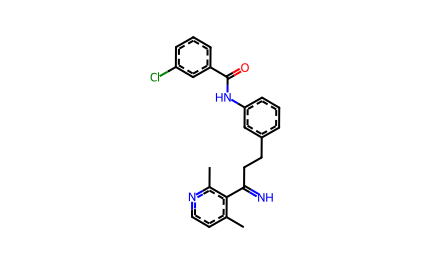 Cc1ccnc(C)c1C(=N)CCc1cccc(NC(=O)c2cccc(Cl)c2)c1